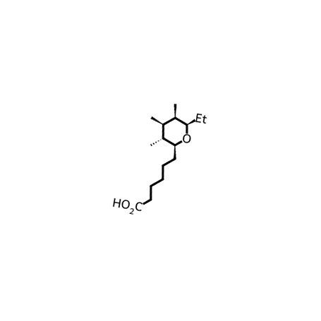 CC[C@H]1O[C@@H](CCCCCC(=O)O)[C@H](C)[C@@H](C)[C@H]1C